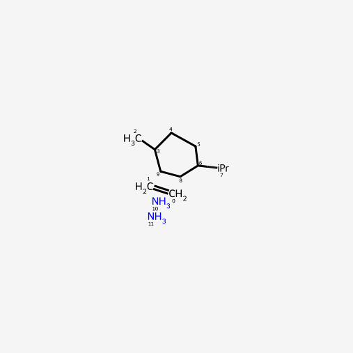 C=C.CC1CCC(C(C)C)CC1.N.N